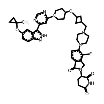 CC1(Oc2ccc3n[nH]c(-c4cc(N5CCC(OC6CC(CN7CCN(c8ccc9c(c8F)CN(C8CCC(=O)NC8=O)C9=O)CC7)C6)CC5)ncn4)c3c2)CC1